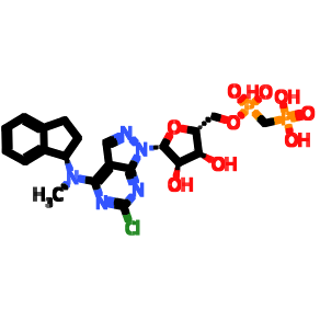 CN(c1nc(Cl)nc2c1cnn2[C@@H]1O[C@H](COP(=O)(O)CP(=O)(O)O)[C@@H](O)[C@H]1O)[C@@H]1CCc2ccccc21